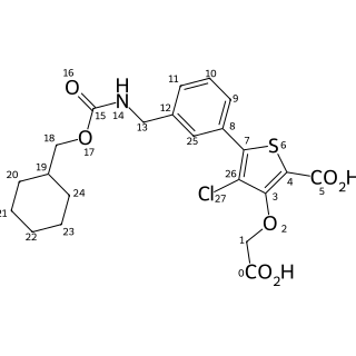 O=C(O)COc1c(C(=O)O)sc(-c2cccc(CNC(=O)OCC3CCCCC3)c2)c1Cl